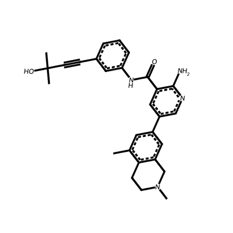 Cc1cc(-c2cnc(N)c(C(=O)Nc3cccc(C#CC(C)(C)O)c3)c2)cc2c1CCN(C)C2